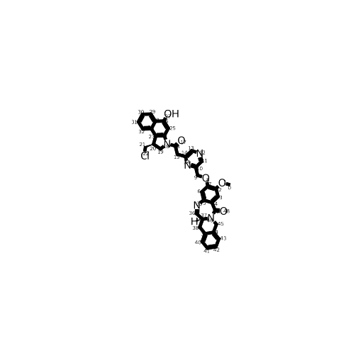 COc1cc2c(cc1OCc1cncc(CC(=O)N3C[C@@H](CCl)c4c3cc(O)c3ccccc43)n1)N=C[C@@H]1Cc3ccccc3CN1C2=O